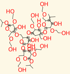 CC(C)O[C@@H]1OC(COCCO)[C@@H](OCC2O[C@@H](O[C@H]3C(COCCO)O[C@@H](OC(C)C)C(OCCO)[C@H]3O)C(O)[C@@H](O)[C@H]2O[C@@H]2CC(CO)[C@H](O[C@@H]3OC(COCCO)[C@@H](C(C)C)[C@H](O)C3OCCO)[C@H](O)C2OCCO)[C@H](O)C1OCCO